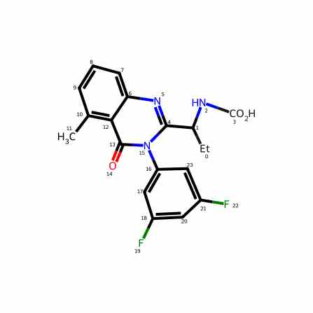 CCC(NC(=O)O)c1nc2cccc(C)c2c(=O)n1-c1cc(F)cc(F)c1